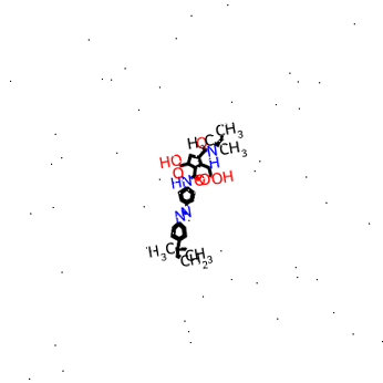 C=CC(C)(CC)c1ccc(/N=N/c2ccc(NC(=O)C3C(C(=O)O)CC(C(=O)NC(C)(C)CC)C3CC(=O)O)cc2)cc1